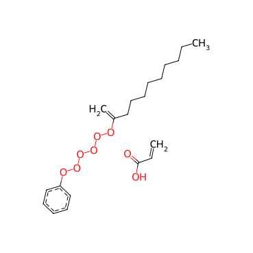 C=C(CCCCCCCCC)OOOOOOc1ccccc1.C=CC(=O)O